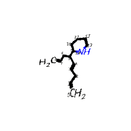 C=CCC=CC(CC=C)C1CCCCN1